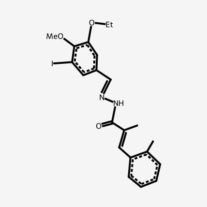 CCOc1cc(/C=N/NC(=O)/C(C)=C/c2ccccc2C)cc(I)c1OC